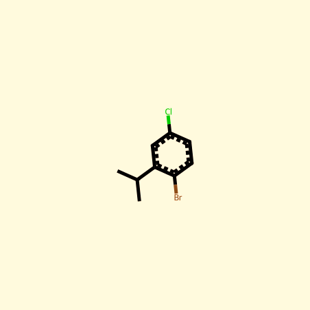 C[C](C)c1cc(Cl)ccc1Br